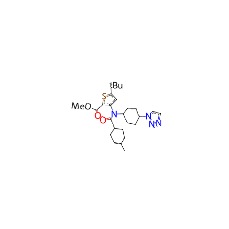 COC(=O)c1sc(C(C)(C)C)cc1N(C(=O)C1CCC(C)CC1)C1CCC(n2ccnn2)CC1